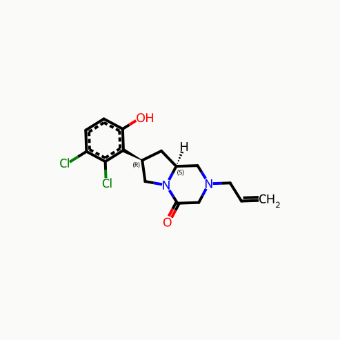 C=CCN1CC(=O)N2C[C@@H](c3c(O)ccc(Cl)c3Cl)C[C@H]2C1